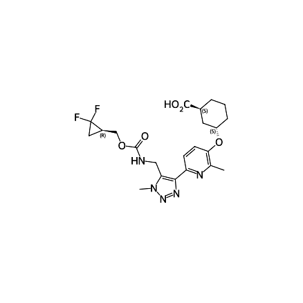 Cc1nc(-c2nnn(C)c2CNC(=O)OC[C@H]2CC2(F)F)ccc1O[C@H]1CCC[C@H](C(=O)O)C1